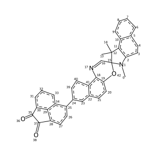 CN1c2ccc3ccccc3c2C(C)(C)C12C=Nc1c(ccc3cc(-c4ccc5c6c(cccc46)C(=O)C5=O)ccc13)O2